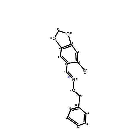 Brc1cc2c(cc1/C=N/OCc1ccccc1)OCO2